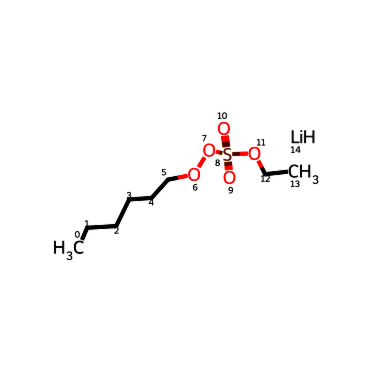 CCCCCCOOS(=O)(=O)OCC.[LiH]